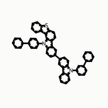 c1ccc(-c2ccc(-n3c4ccc(-c5ccc6c(c5)c5ccccc5n6-c5cccc(-c6ccccc6)c5)cc4c4ccc5sc6ccccc6c5c43)cc2)cc1